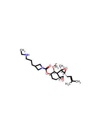 CCNCCCC1CN(C(=O)O[C@@H]2CC[C@]3(CO3)C([C@@]3(C)O[C@@H]3CC=C(C)C)[C@@H]2OC)C1